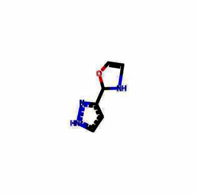 C1=COC(c2cc[nH]n2)N1